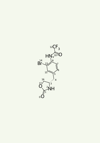 O=C1N[C@@H](Cc2ccc(NC(=O)C(F)(F)F)c(Br)c2)CO1